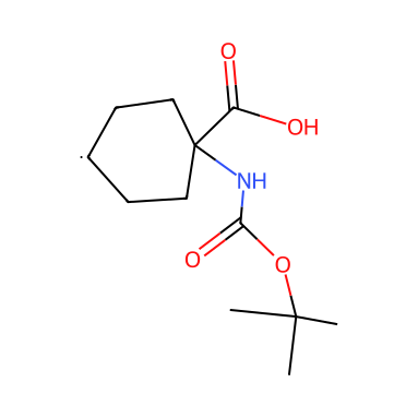 CC(C)(C)OC(=O)NC1(C(=O)O)CC[CH]CC1